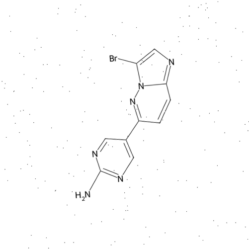 Nc1ncc(-c2ccc3ncc(Br)n3n2)cn1